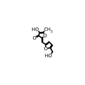 CC1=C(O)C(=O)/C(=C/c2ccc(CO)o2)O1